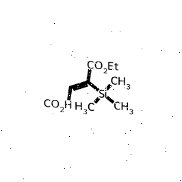 CCOC(=O)C(=CC(=O)O)[Si](C)(C)C